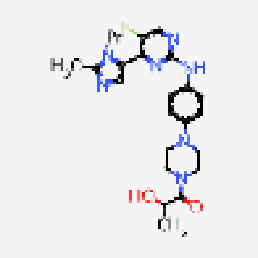 Cc1ncc(-c2nc(Nc3ccc(N4CCN(C(=O)[C@@H](C)O)CC4)cc3)ncc2F)n1C(C)C